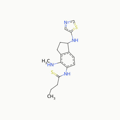 CCCC(=S)Nc1ccc2c(c1NC)CCC2Nc1cncs1